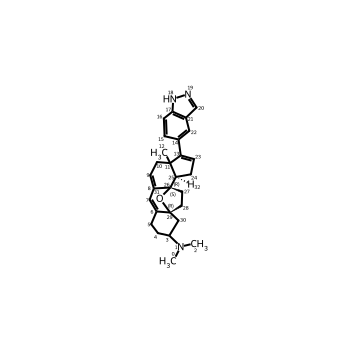 CN(C)C1CCC2=CC3=CCC4(C)C(c5ccc6[nH]ncc6c5)=CC[C@H]4[C@@]34CC[C@]2(C1)O4